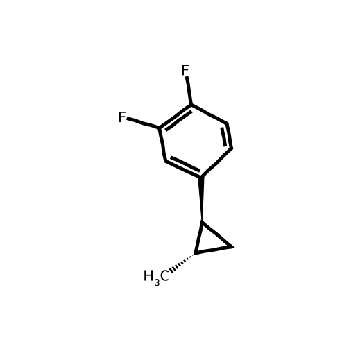 C[C@H]1C[C@@H]1c1ccc(F)c(F)c1